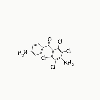 Nc1ccc(C(=O)c2c(Cl)c(Cl)c(N)c(Cl)c2Cl)cc1